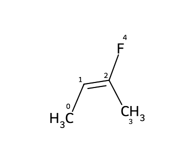 C/C=C(\C)F